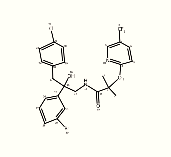 CC(C)(Oc1ccc(C(F)(F)F)cn1)C(=O)NCC(O)(Cc1ccc(Cl)cc1)c1cccc(Br)c1